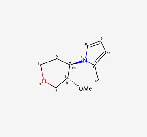 CO[C@@H]1COCC[C@H]1n1cccc1C